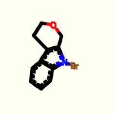 Brn1c2c(c3ccccc31)CCOC2